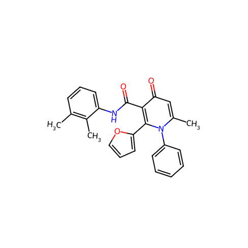 Cc1cccc(NC(=O)c2c(-c3ccco3)n(-c3ccccc3)c(C)cc2=O)c1C